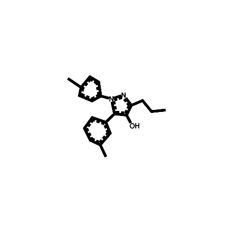 CCCc1nn(-c2ccc(C)cc2)c(-c2cccc(C)c2)c1O